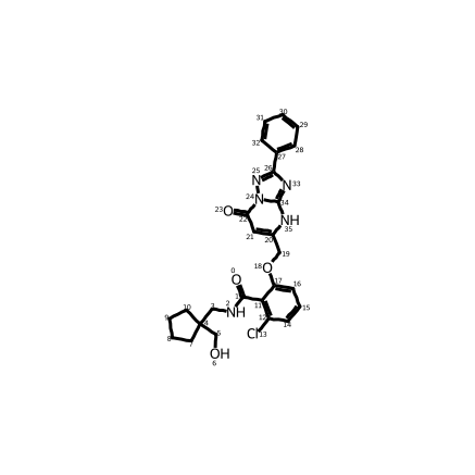 O=C(NCC1(CO)CCCC1)c1c(Cl)cccc1OCc1cc(=O)n2nc(-c3ccccc3)nc2[nH]1